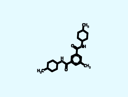 Cc1cc(C(=O)NC2CCC(C)CC2)cc(C(=O)NC2CCC(C)CC2)c1